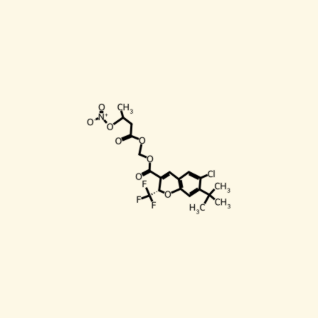 CC(CC(=O)OCOC(=O)C1=Cc2cc(Cl)c(C(C)(C)C)cc2O[C@@H]1C(F)(F)F)O[N+](=O)[O-]